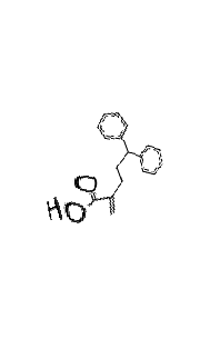 C=C(CCC(c1ccccc1)c1ccccc1)C(=O)O